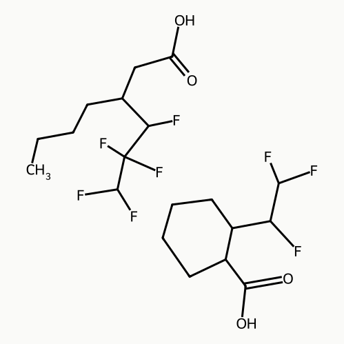 CCCCC(CC(=O)O)C(F)C(F)(F)C(F)F.O=C(O)C1CCCCC1C(F)C(F)F